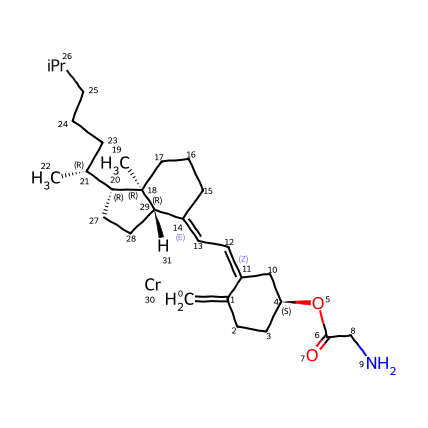 C=C1CC[C@H](OC(=O)CN)C/C1=C/C=C1\CCC[C@]2(C)[C@@H]([C@H](C)CCCC(C)C)CC[C@@H]12.[Cr]